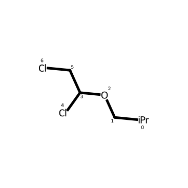 CC(C)COC(Cl)CCl